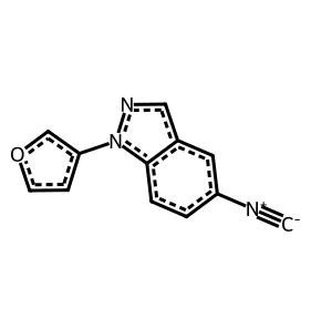 [C-]#[N+]c1ccc2c(cnn2-c2ccoc2)c1